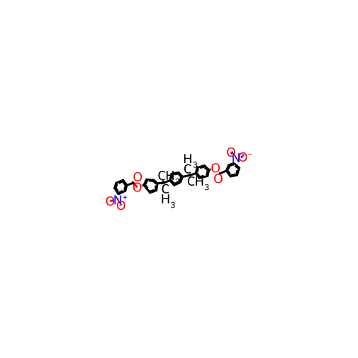 CC(C)(c1ccc(OC(=O)c2cccc([N+](=O)[O-])c2)cc1)c1ccc(C(C)(C)c2ccc(OC(=O)c3cccc([N+](=O)[O-])c3)cc2)cc1